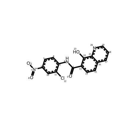 O=C(Nc1ccc([N+](=O)[O-])cc1Cl)c1ccc2cccnc2c1O